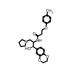 Cc1ccc(OCCC(=O)NC(CN2CCCC2)[C@H](O)c2ccc3c(c2)OCCO3)cc1